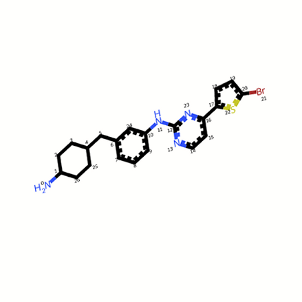 NC1CCC(Cc2cccc(Nc3nccc(-c4ccc(Br)s4)n3)c2)CC1